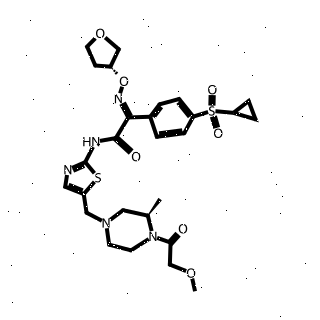 COCC(=O)N1CCN(Cc2cnc(NC(=O)/C(=N/O[C@@H]3CCOC3)c3ccc(S(=O)(=O)C4CC4)cc3)s2)C[C@H]1C